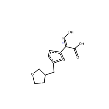 O=C(O)/C(=N\O)c1ccc(CC2CCOC2)s1